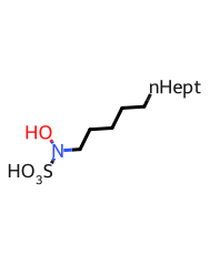 CCCCCCCCCCCCN(O)S(=O)(=O)O